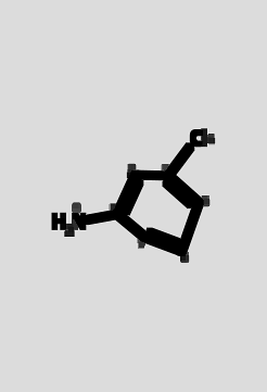 Nc1[c]c(Cl)ccc1